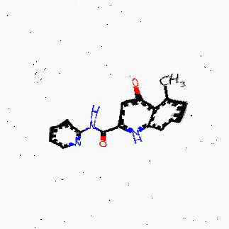 Cc1cccc2[nH]c(C(=O)Nc3ccccn3)cc(=O)c12